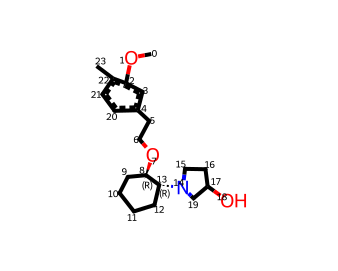 COc1cc(CCO[C@@H]2CCCC[C@H]2N2CCC(O)C2)ccc1C